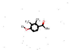 CCCCC(=O)c1ccc(OCC)c(C(F)(F)F)c1C(F)(F)F